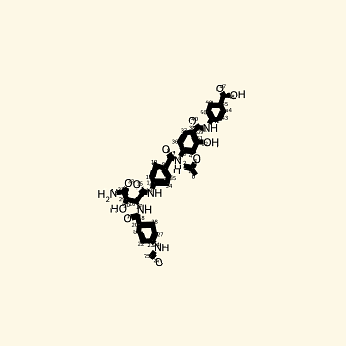 CC(C)Oc1c(NC(=O)c2ccc(NC(=O)[C@@H](NC(=O)c3ccc(NC=O)cc3)C(O)C(N)=O)cc2)ccc(C(=O)Nc2ccc(C(=O)O)cc2)c1O